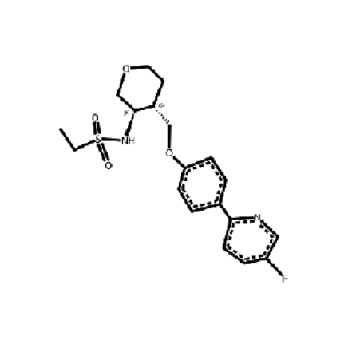 CCS(=O)(=O)N[C@H]1COCC[C@@H]1COc1ccc(-c2ccc(F)cn2)cc1